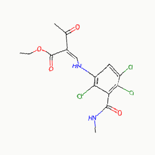 CCOC(=O)C(=CNc1cc(Cl)c(Cl)c(C(=O)NC)c1Cl)C(C)=O